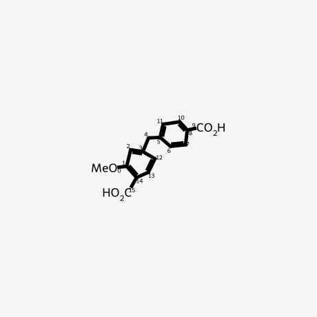 COc1cc(Cc2ccc(C(=O)O)cc2)ccc1C(=O)O